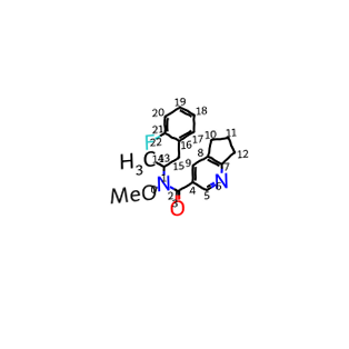 CON(C(=O)c1cnc2c(c1)CCC2)C(C)Cc1ccccc1F